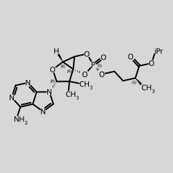 CC(C)OC(=O)[C@@H](C)CCO[P@@]1(=O)OC2[C@H]3O[C@@H](n4cnc5c(N)ncnc54)C(C)(C)[C@]23O1